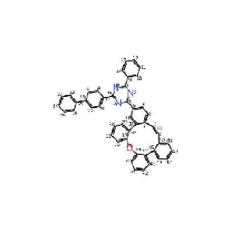 C1=C\c2ccc(-c3nc(-c4ccccc4)nc(-c4ccc(-c5ccccc5)cc4)n3)cc2-c2ccccc2Oc2ccccc2-c2ccccc2/1